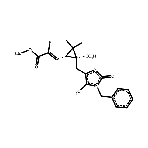 CC(C)(C)OC(=O)C(F)=C[C@@H]1C(C)(C)[C@]1(Cc1sc(=O)n(Cc2ccccc2)c1C(F)(F)F)C(=O)O